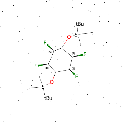 CC(C)(C)[Si](C)(C)OC1[C@@H](F)[C@@H](F)C(O[Si](C)(C)C(C)(C)C)[C@@H](F)[C@H]1F